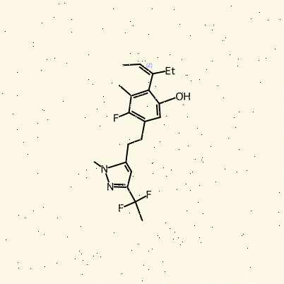 C/C=C(/CC)c1c(O)cc(CCc2cc(C(C)(F)F)nn2C)c(F)c1C